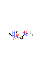 C#CCNC(=O)N(Cc1ccc(-c2noc(C(F)(F)F)n2)s1)OCC(F)F